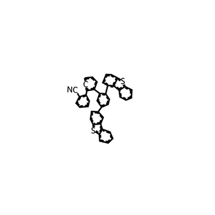 N#Cc1ccccc1-c1ccccc1-c1cc(-c2ccc3sc4ccccc4c3c2)ccc1-c1cccc2sc3ccccc3c12